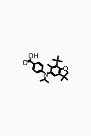 Cc1c(N(c2ccc(C(=O)O)cc2)C(C)C)cc2c(c1C(C)(C)C)OCC2(C)C